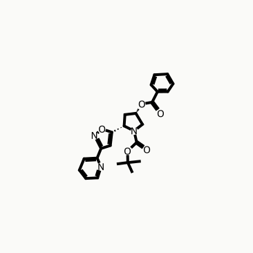 CC(C)(C)OC(=O)N1C[C@@H](OC(=O)c2ccccc2)C[C@H]1c1cc(-c2ccccn2)no1